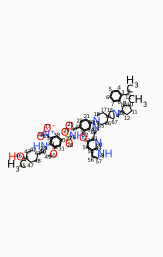 CC(C)c1ccccc1[C@@H]1CCC[C@@H]1N1CC2(CCN(c3ccc(C(=O)NS(=O)(=O)c4cc5c(c([N+](=O)[O-])c4)N[C@@H]([C@H]4CC[C@](C)(O)CC4)CO5)c(Oc4cc5cc[nH]c5nc4C#N)c3)CC2)C1